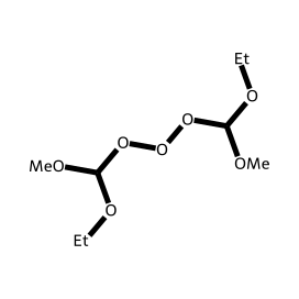 CCOC(OC)OOOC(OC)OCC